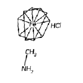 CN.Cl.[CH]12[CH]3[CH]4[CH]5[CH]1[Fe]23451678[CH]2[CH]1[CH]6[CH]7[CH]28